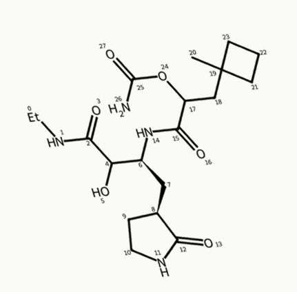 CCNC(=O)C(O)[C@H](C[C@@H]1CCNC1=O)NC(=O)C(CC1(C)CCC1)OC(N)=O